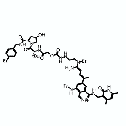 CCc1ccc(CNC(=O)[C@@H]2CC(O)CN2C(=O)[C@@H](NC(=O)COC(=O)NNCCN(CC)/C(N)=C/C=C(\C)c2cc(NC(C)C)c(C=N)c(C(=O)NCc3c(C)cc(C)[nH]c3=O)c2)C(C)(C)C)cc1